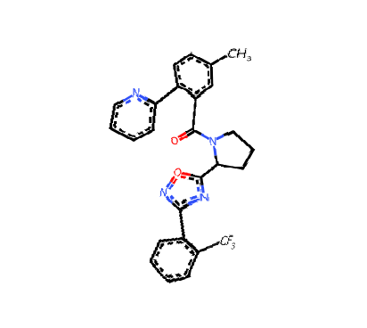 Cc1ccc(-c2ccccn2)c(C(=O)N2CCCC2c2nc(-c3ccccc3C(F)(F)F)no2)c1